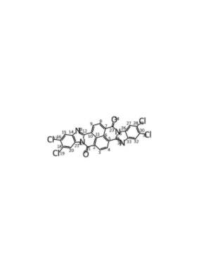 O=c1c2ccc3c4c(ccc(c24)c2nc4cc(Cl)c(Cl)cc4n12)c(=O)n1c2cc(Cl)c(Cl)cc2nc31